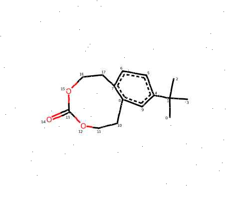 CC(C)(C)c1ccc2c(c1)CCOC(=O)OCC2